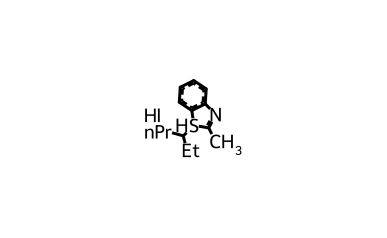 CCCC(CC)[SH]1C(C)=Nc2ccccc21.I